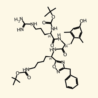 Cc1cc(O)cc(C)c1C[C@@H](NC(=O)[C@@H](CCCNC(=N)N)NC(=O)OC(C)(C)C)C(=O)N[C@H](CCCCNC(=O)OC(C)(C)C)c1nc(Cc2ccccc2)no1